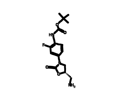 CC(C)(C)OC(=O)Nc1ccc(N2C[C@H](CN)OC2=O)cc1F